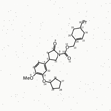 COc1ccc(C2CC(=O)N(C(=O)OCC3=CCC(C(C)C)CC3)C2)cc1OC1CCCC1